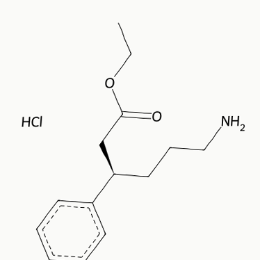 CCOC(=O)C[C@@H](CCCN)c1ccccc1.Cl